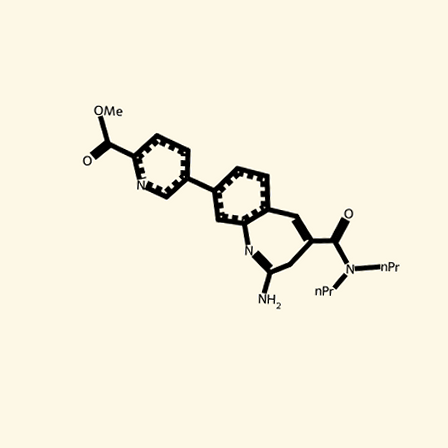 CCCN(CCC)C(=O)C1=Cc2ccc(-c3ccc(C(=O)OC)nc3)cc2N=C(N)C1